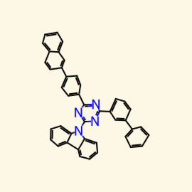 c1ccc(-c2cccc(-c3nc(-c4ccc(-c5ccc6ccccc6c5)cc4)nc(-n4c5ccccc5c5ccccc54)n3)c2)cc1